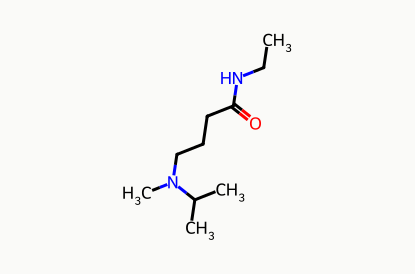 CCNC(=O)CCCN(C)C(C)C